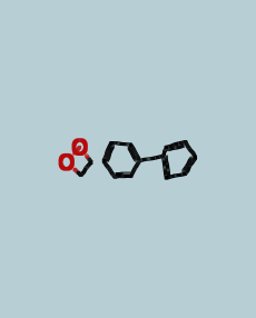 C1COO1.c1ccc(-c2ccccc2)cc1